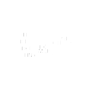 Cl.Cl.Cl.Cl.[BaH2].[KH].[MgH2].[NaH]